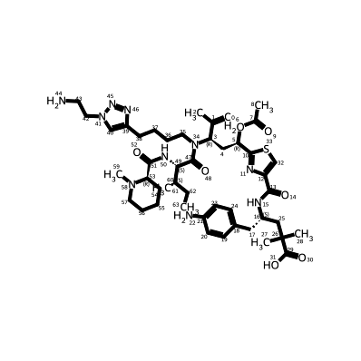 C=C(C)[C@@H](C[C@@H](OC(C)=O)c1nc(C(=O)N[C@@H](Cc2ccc(N)cc2)CC(C)(C)C(=O)O)cs1)N(CCCCc1cn(CCN)nn1)C(=O)[C@@H](NC(=O)[C@H]1CCCCN1C)[C@@H](C)CC